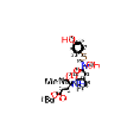 CNC(=O)[C@H](CCC(=O)OC(C)(C)C)NC(=O)[C@@H](CC(=O)N(O)CSc1ccc(O)cc1)CC(C)C